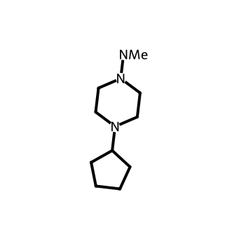 CNN1CCN(C2CCCC2)CC1